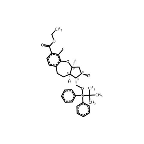 CCOC(=O)c1ccc2c(c1F)O[C@H]1C[C@@H](Cl)[C@H](CO[Si](c3ccccc3)(c3ccccc3)C(C)(C)C)[C@H]1CC2